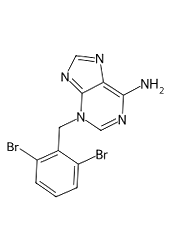 Nc1ncn(Cc2c(Br)cccc2Br)c2ncnc1-2